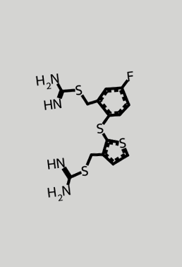 N=C(N)SCc1cc(F)ccc1Sc1sccc1CSC(=N)N